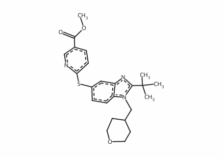 COC(=O)c1ccc(Sc2ccc3c(c2)nc(C(C)(C)C)n3CC2CCOCC2)nc1